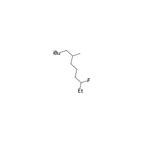 CCC(C)CC(C)CCCC(F)CC